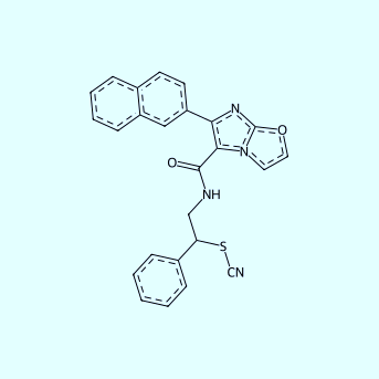 N#CSC(CNC(=O)c1c(-c2ccc3ccccc3c2)nc2occn12)c1ccccc1